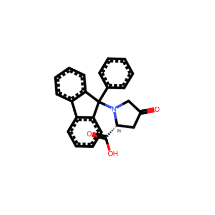 O=C1C[C@H](C(=O)O)N(C2(c3ccccc3)c3ccccc3-c3ccccc32)C1